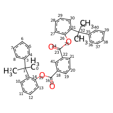 CC(C)(c1ccccc1)c1ccccc1OC(=O)c1cccc(C(=O)Oc2ccccc2C(C)(C)c2ccccc2)c1